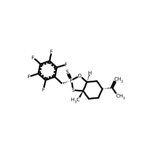 C=C(C)[C@@H]1CC[C@]2(C)S[P@](=S)(Cc3c(F)c(F)c(F)c(F)c3F)O[C@H]2C1